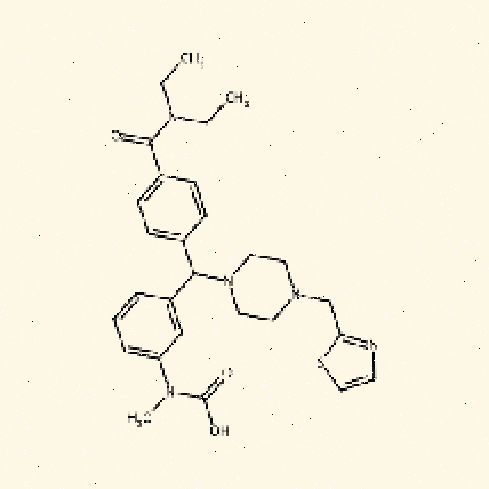 CCN(CC)C(=O)c1ccc(C(c2cccc(N(C)C(=O)O)c2)N2CCN(Cc3nccs3)CC2)cc1